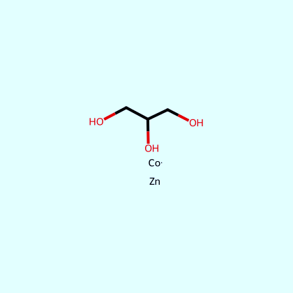 OCC(O)CO.[Co].[Zn]